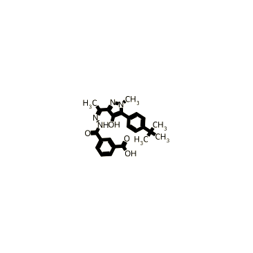 CC(=NNC(=O)c1cccc(C(=O)O)c1)c1nn(C)c(-c2ccc(C(C)(C)C)cc2)c1O